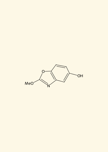 COc1nc2cc(O)ccc2o1